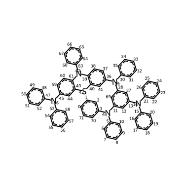 c1ccc(N(c2ccccc2)c2cc(N(c3ccccc3)c3ccccc3)cc(N(c3ccccc3)c3ccc4c(c3)Sc3cc(N(c5ccccc5)c5ccccc5)ccc3N4c3ccccc3)c2)cc1